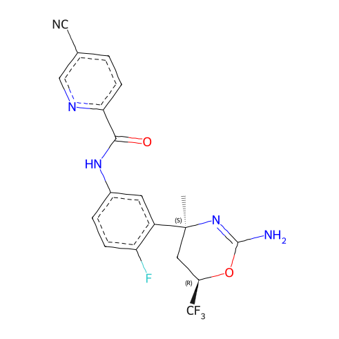 C[C@@]1(c2cc(NC(=O)c3ccc(C#N)cn3)ccc2F)C[C@H](C(F)(F)F)OC(N)=N1